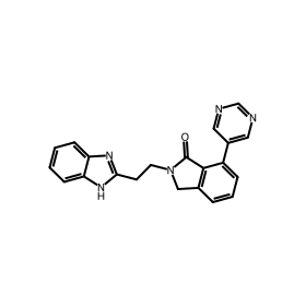 O=C1c2c(cccc2-c2cncnc2)CN1CCc1nc2ccccc2[nH]1